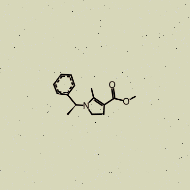 COC(=O)C1=C(C)N([C@@H](C)c2ccccc2)CC1